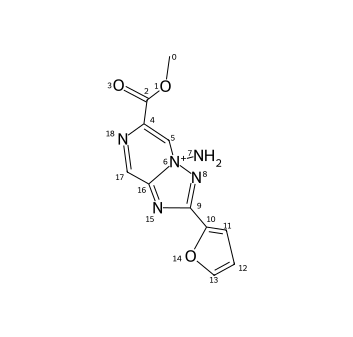 COC(=O)C1=C[N+]2(N)N=C(c3ccco3)N=C2C=N1